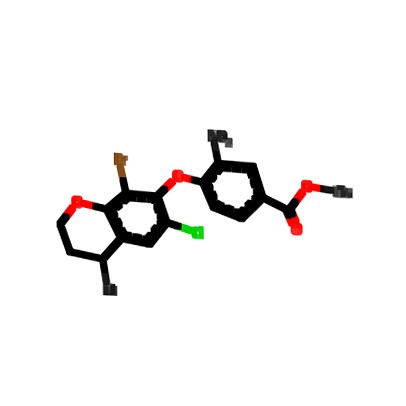 [CH2]CC1CCOc2c1cc(Cl)c(Oc1ccc(C(=O)OC(C)(C)C)cc1[N+](=O)[O-])c2Br